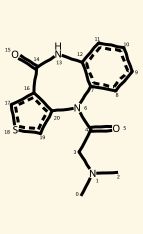 CN(C)CC(=O)N1c2ccccc2NC(=O)c2cscc21